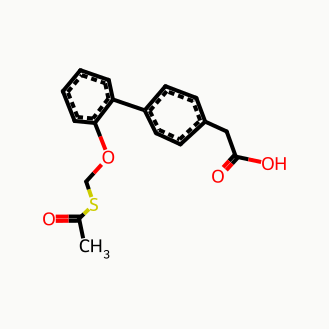 CC(=O)SCOc1ccccc1-c1ccc(CC(=O)O)cc1